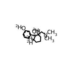 [2H]Oc1cccc([C@]2(O)C([2H])([2H])CCC[C@@]2([2H])CN(C)C)c1